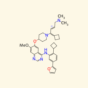 COc1cc2ncnc(Nc3cc(-c4ccco4)ccc3C3CCC3)c2cc1OC1CCN(C(/C=C/CN(C)C)=C2CCC2)CC1